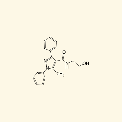 Cc1c(C(=O)NCCO)c(-c2ccccc2)nn1-c1ccccc1